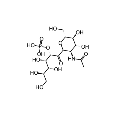 CC(=O)N[C@H]1C(C(=O)[C@@H](OP(=O)(O)O)[C@@H](O)[C@H](O)[C@H](O)CO)O[C@H](CO)[C@@H](O)[C@@H]1O